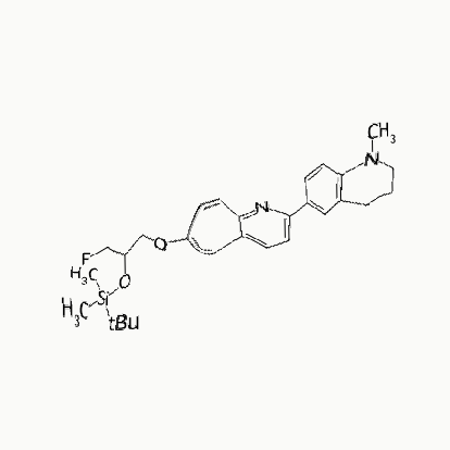 CN1CCCc2cc(-c3ccc4cc(OCC(CF)O[Si](C)(C)C(C)(C)C)ccc4n3)ccc21